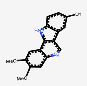 COc1cc2ncc3c4cc(C#N)ccc4[nH]c3c2cc1OC